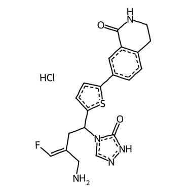 Cl.NC/C(=C/F)CC(c1ccc(-c2ccc3c(c2)C(=O)NCC3)s1)n1cn[nH]c1=O